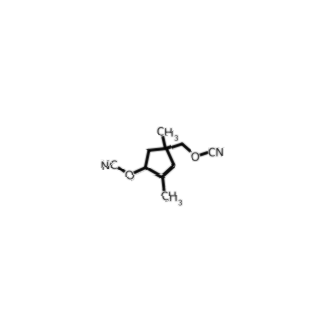 CC1CC(C)(COC#N)CC1OC#N